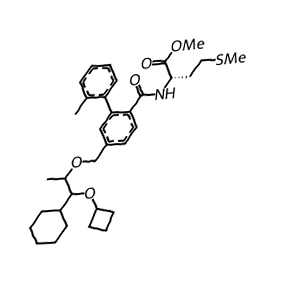 COC(=O)[C@H](CCSC)NC(=O)c1ccc(COC(C)C(OC2CCC2)C2CCCCC2)cc1-c1ccccc1C